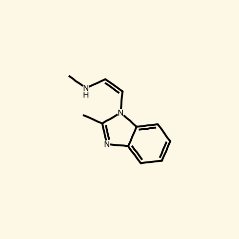 CN/C=C\n1c(C)nc2ccccc21